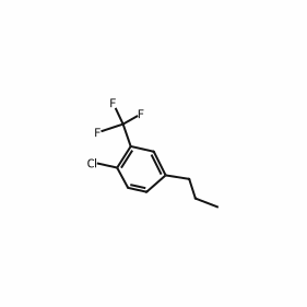 CCCc1ccc(Cl)c(C(F)(F)F)c1